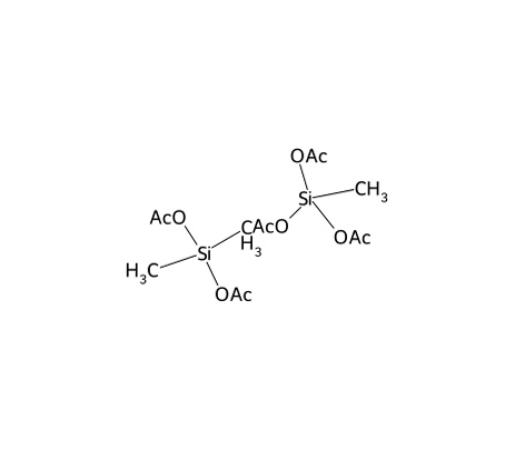 CC(=O)O[Si](C)(C)OC(C)=O.CC(=O)O[Si](C)(OC(C)=O)OC(C)=O